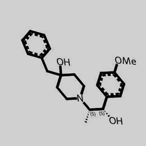 COc1ccc([C@H](O)[C@H](C)N2CCC(O)(Cc3ccccc3)CC2)cc1